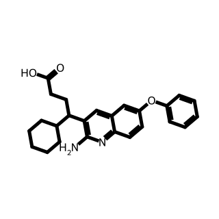 Nc1nc2ccc(Oc3ccccc3)cc2cc1C(CCC(=O)O)C1CCCCC1